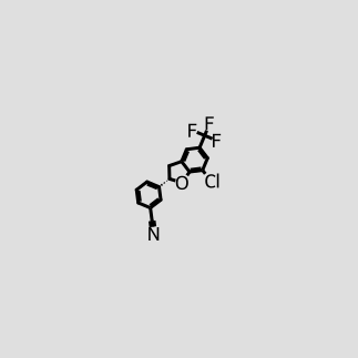 N#Cc1cccc([C@@H]2Cc3cc(C(F)(F)F)cc(Cl)c3O2)c1